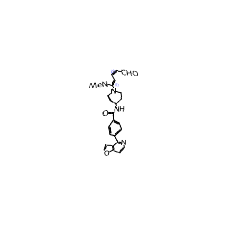 CN/C(=C\C=C/C=O)N1CCC(NC(=O)c2ccc(-c3nccc4occc34)cc2)CC1